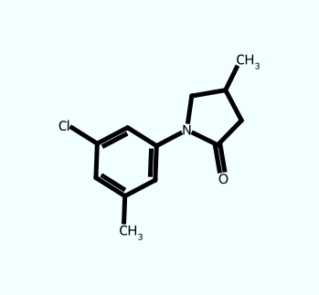 Cc1cc(Cl)cc(N2CC(C)CC2=O)c1